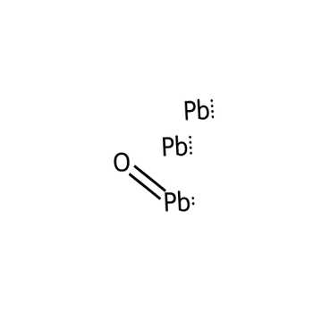 [O]=[Pb].[Pb].[Pb]